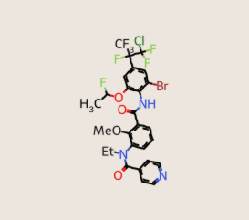 CCN(C(=O)c1ccncc1)c1cccc(C(=O)Nc2c(Br)cc(C(F)(C(F)(F)F)C(F)(F)Cl)cc2OC(C)F)c1OC